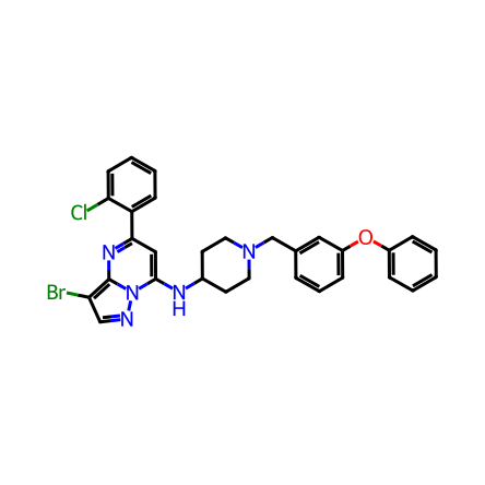 Clc1ccccc1-c1cc(NC2CCN(Cc3cccc(Oc4ccccc4)c3)CC2)n2ncc(Br)c2n1